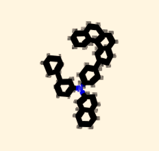 c1ccc(-c2cccc(N(c3ccc(-c4ccc5ccc6ccc7ccccc7c6c5c4)cc3)c3ccc4ccccc4c3)c2)cc1